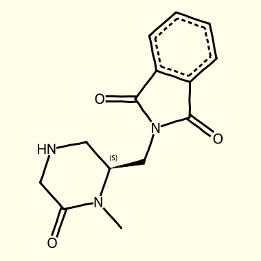 CN1C(=O)CNC[C@H]1CN1C(=O)c2ccccc2C1=O